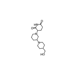 O=C1CCC(N2CCCC(N3CCC(CO)CC3)C2)C(=O)N1